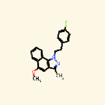 COc1cc2c(C)nn(CCc3ccc(F)cc3)c2c2ccccc12